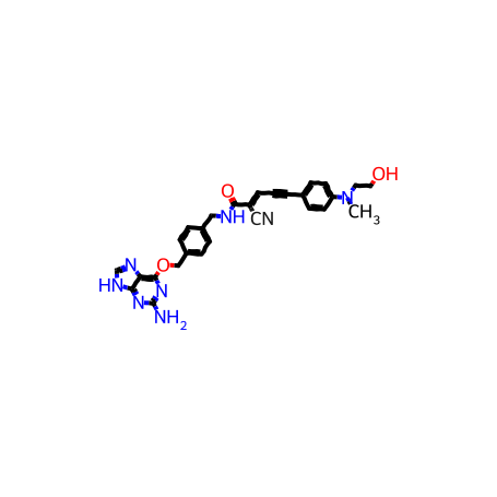 CN(CCO)c1ccc(C#C/C=C(\C#N)C(=O)NCc2ccc(COc3nc(N)nc4[nH]cnc34)cc2)cc1